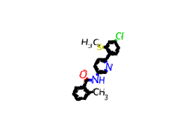 CSc1cc(Cl)ccc1-c1ccc(NC(=O)c2ccccc2C)cn1